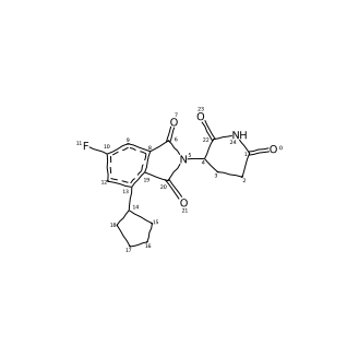 O=C1CCC(N2C(=O)c3cc(F)cc(C4CCCC4)c3C2=O)C(=O)N1